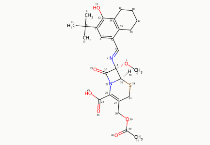 CO[C@@]1(/N=C/c2cc(C(C)(C)C)c(O)c3c2CCCC3)C(=O)N2C(C(=O)O)=C(COC(C)=O)CS[C@@H]21